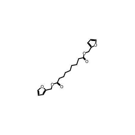 O=C(CCCCCCCC(=O)OCc1ccco1)OCc1ccco1